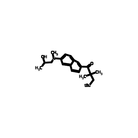 CC(O)CN(C)c1ccc2cc(C(=O)C(C)(C)CC(C)(C)C)ccc2c1